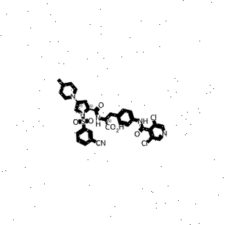 CC1CCN([C@@H]2C[C@@H](C(=O)N[C@@H](Cc3ccc(NC(=O)c4c(Cl)cncc4Cl)cc3)C(=O)O)N(S(=O)(=O)c3cccc(C#N)c3)C2)CC1